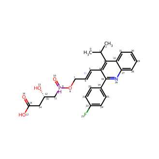 CC(C)c1c(/C=C/CO[PH](=O)C[C@@H](O)CC(=O)O)c(-c2ccc(F)cc2)nc2ccccc12